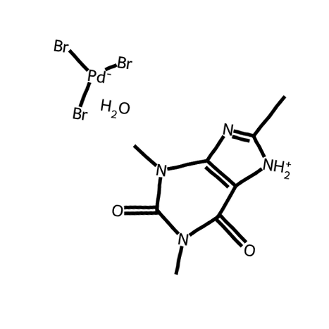 CC1=Nc2c(c(=O)n(C)c(=O)n2C)[NH2+]1.O.[Br][Pd-]([Br])[Br]